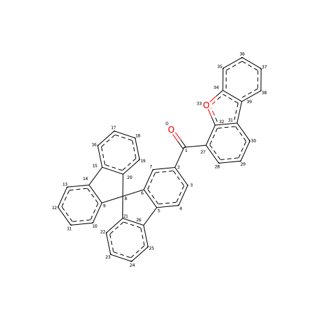 O=C(c1ccc2c(c1)C1(c3ccccc3-c3ccccc31)c1ccccc1-2)c1cccc2c1oc1ccccc12